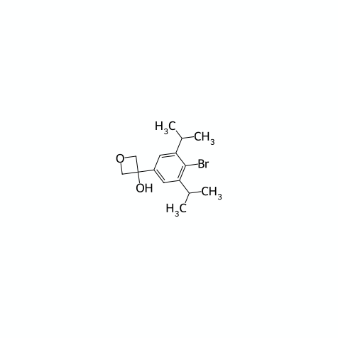 CC(C)c1cc(C2(O)COC2)cc(C(C)C)c1Br